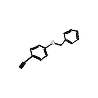 C#Cc1ccc(OCc2ccccc2)cc1